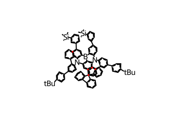 CC(C)(C)c1ccc(-c2ccc(N3c4ccc(-c5cccc([Si](C)(C)C)c5)cc4B4c5cc(-c6cccc([Si](C)(C)C)c6)ccc5N(c5ccc(-c6ccc(C(C)(C)C)cc6)cc5-c5ccccc5)c5cc(C6(c7ccccc7)c7ccccc7-c7ccccc76)cc3c54)c(-c3ccccc3)c2)cc1